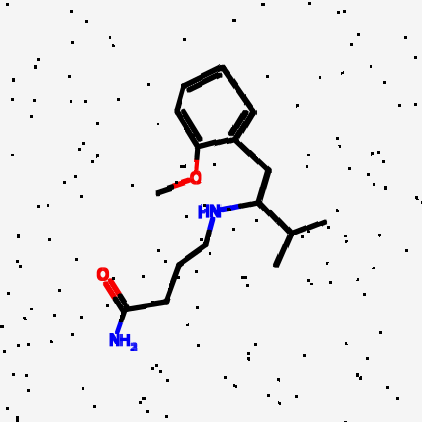 COc1ccccc1CC(NCCCC(N)=O)C(C)C